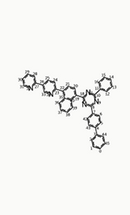 c1ccc(-c2ccc(-c3nc(-c4ccccc4)nc(-c4ccc(-c5ccc(-c6ccccn6)cn5)c5ccccc45)n3)cc2)cc1